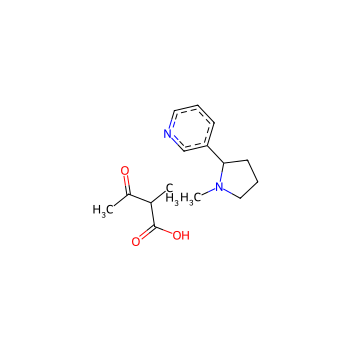 CC(=O)C(C)C(=O)O.CN1CCCC1c1cccnc1